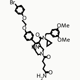 COc1cc(CN(C(=O)C2=C(c3ccc(OCCOc4ccc(Br)cc4)cc3)CC3CN(C(=O)CCCC(N)=O)CC2N3)C2CC2)cc(OC)c1